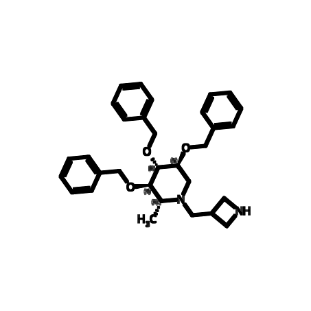 C[C@@H]1[C@@H](OCc2ccccc2)[C@H](OCc2ccccc2)[C@@H](OCc2ccccc2)CN1CC1CNC1